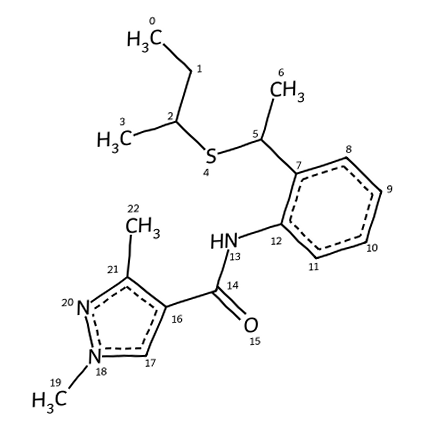 CCC(C)SC(C)c1ccccc1NC(=O)c1cn(C)nc1C